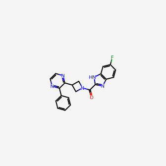 O=C(c1nc2ccc(F)cc2[nH]1)N1CC(c2nccnc2-c2ccccc2)C1